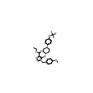 CCOC(=O)c1nnn(Cc2ccc(OC)cc2)c1O[C@H]1CC[C@H](c2ccc(OC(F)(F)F)cc2)CC1